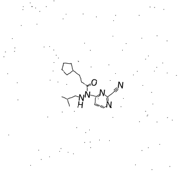 CC(C)CNN(C(=O)CCC1CCCC1)c1ccnc(C#N)n1